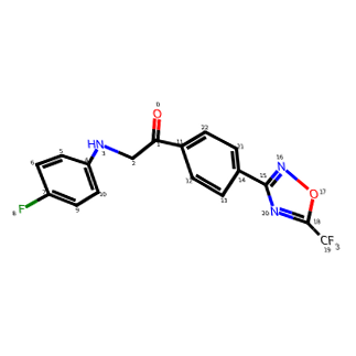 O=C(CNc1ccc(F)cc1)c1ccc(-c2noc(C(F)(F)F)n2)cc1